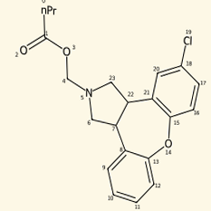 CCCC(=O)OCN1CC2c3ccccc3Oc3ccc(Cl)cc3C2C1